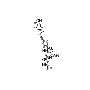 COC(=O)[C@H](CNC(=O)CNC1CC1)NC(=O)c1ccc(C#C/C=C/c2ccc(CO)cc2)cc1